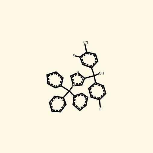 N#Cc1ccc(C(O)(c2ccc(Cl)cc2)c2cn(C(c3ccccc3)(c3ccccc3)c3ccccc3)cn2)cc1F